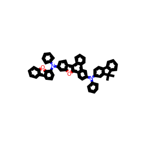 CC1(C)c2ccccc2-c2ccc(N(c3ccccc3)c3ccc4c(c3)c3ccccc3c3c5ccc(N(c6ccccc6)c6cccc7c6oc6ccccc67)cc5oc43)cc21